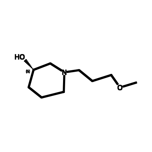 COCCCN1CCC[C@H](O)C1